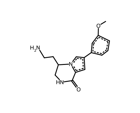 COc1cccc(-c2cc3n(c2)C(CCN)CNC3=O)c1